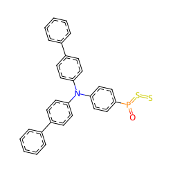 O=P(=S=S)c1ccc(N(c2ccc(-c3ccccc3)cc2)c2ccc(-c3ccccc3)cc2)cc1